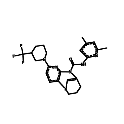 Cc1cc(C)nc(NC(=O)N2C3=CN(CCC3)c3ccc(N4CCCC(C(F)(F)F)C4)nc32)c1